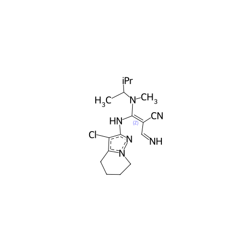 CC(C)C(C)N(C)/C(Nc1nn2c(c1Cl)CCCC2)=C(\C#N)C=N